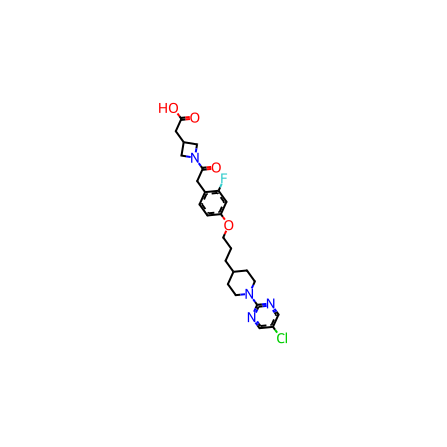 O=C(O)CC1CN(C(=O)Cc2ccc(OCCCC3CCN(c4ncc(Cl)cn4)CC3)cc2F)C1